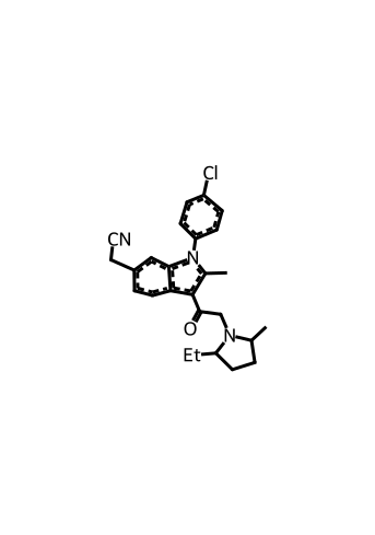 CCC1CCC(C)N1CC(=O)c1c(C)n(-c2ccc(Cl)cc2)c2cc(CC#N)ccc12